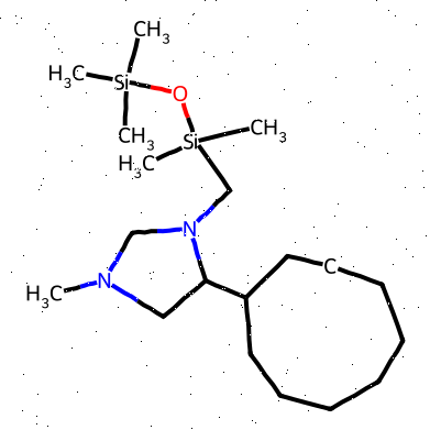 CN1CC(C2CCCCCCCC2)N(C[Si](C)(C)O[Si](C)(C)C)C1